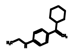 C=C(c1ccc(NCC)cc1)C1CCCCC1